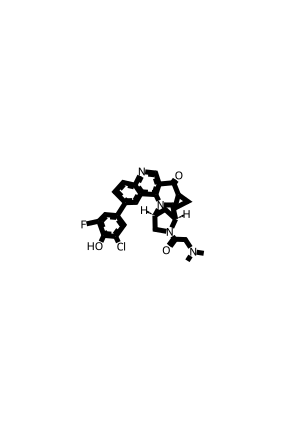 CN(C)CC(=O)N1C[C@@H]2C[C@H]1CN2c1c(C(=O)C2CC2)cnc2ccc(-c3cc(F)c(O)c(Cl)c3)cc12